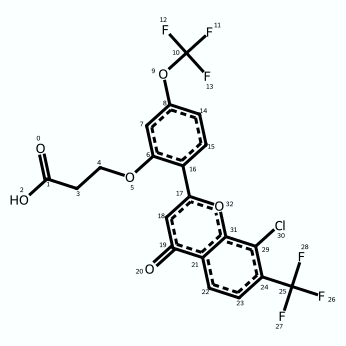 O=C(O)CCOc1cc(OC(F)(F)F)ccc1-c1cc(=O)c2ccc(C(F)(F)F)c(Cl)c2o1